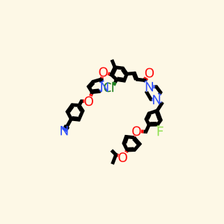 Cc1cc(C=CC(=O)N2CCN(Cc3ccc(COc4ccc(OC(C)C)cc4)c(F)c3)CC2)cc(Cl)c1Oc1ccc(OCc2ccc(C#N)cc2)cn1